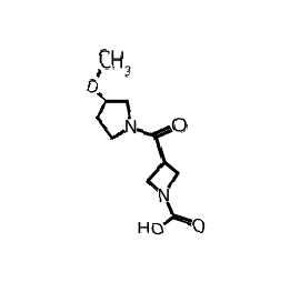 CO[C@@H]1CCN(C(=O)C2CN(C(=O)O)C2)C1